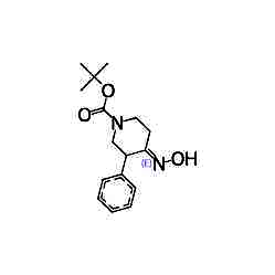 CC(C)(C)OC(=O)N1CC/C(=N\O)C(c2ccccc2)C1